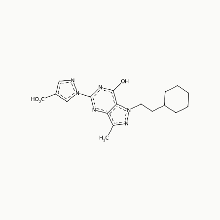 Cc1nn(CCC2CCCCC2)c2c(O)nc(-n3cc(C(=O)O)cn3)nc12